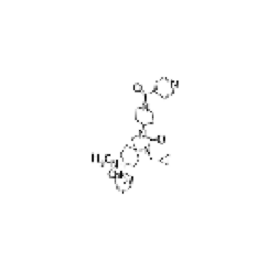 CN(C)C1(c2ccccc2)CCC2(CC1)CN(C1CCN(C(=O)c3ccncc3)CC1)C(=O)N2CC1CC1